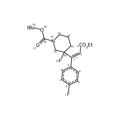 CCOC(=O)/C=C(/c1ccc(F)cc1)C1(F)CCCN(C(=O)OC(C)(C)C)C1